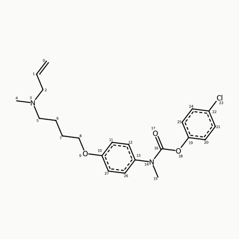 C=CCN(C)CCCCOc1ccc(N(C)C(=O)Oc2ccc(Cl)cc2)cc1